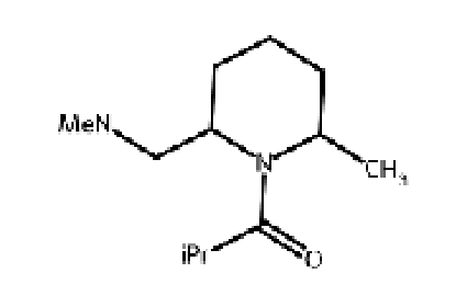 CNCC1CCCC(C)N1C(=O)C(C)C